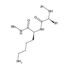 CC(C)N[C@H](C(=O)N[C@@H](CCCCN)C(=O)NC(C)(C)C)C(C)C